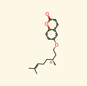 CC(C)=CCC[C@H](C)CCOc1ccc2oc(=O)ccc2c1